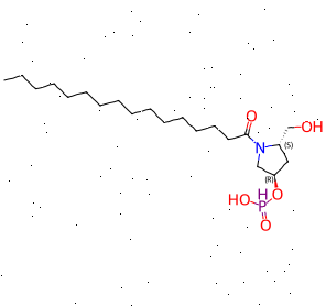 CCCCCCCCCCCCCCCC(=O)N1C[C@H](O[PH](=O)O)C[C@H]1CO